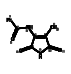 CC1=C(NC(=O)C(C)C)C(=O)NC1=O